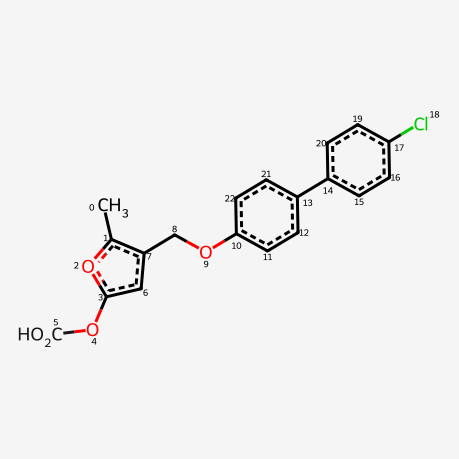 Cc1oc(OC(=O)O)cc1COc1ccc(-c2ccc(Cl)cc2)cc1